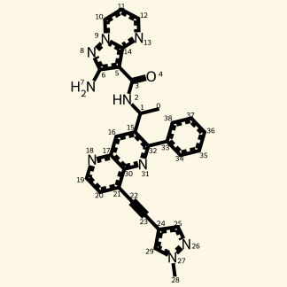 CC(NC(=O)c1c(N)nn2cccnc12)c1cc2nccc(C#Cc3cnn(C)c3)c2nc1-c1ccccc1